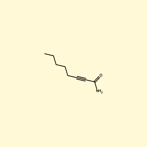 CCCCCC#CC(N)=O